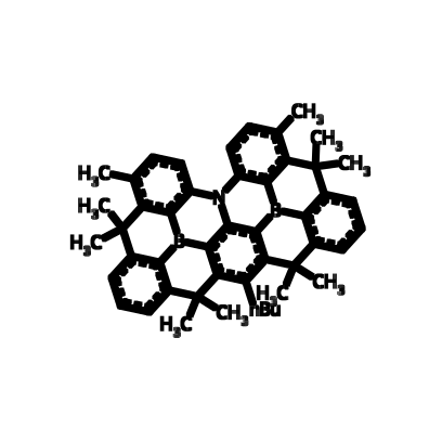 CCCCc1c2c3c4c5c1C(C)(C)c1cccc6c1B5c1c(ccc(C)c1C6(C)C)N4c1ccc(C)c4c1B3c1c(cccc1C2(C)C)C4(C)C